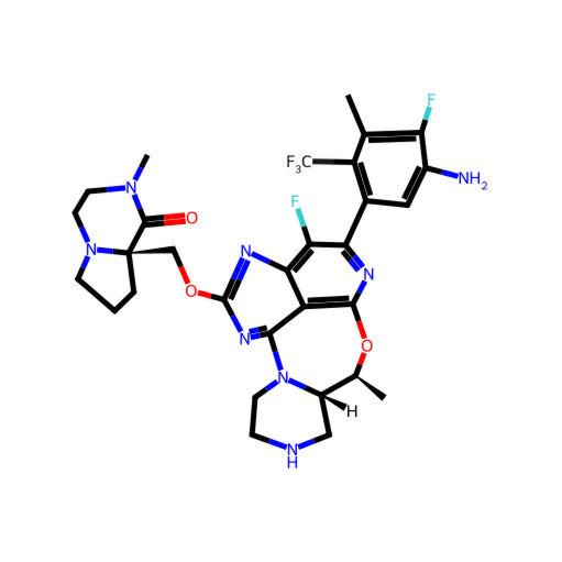 Cc1c(F)c(N)cc(-c2nc3c4c(nc(OC[C@@]56CCCN5CCN(C)C6=O)nc4c2F)N2CCNC[C@H]2[C@H](C)O3)c1C(F)(F)F